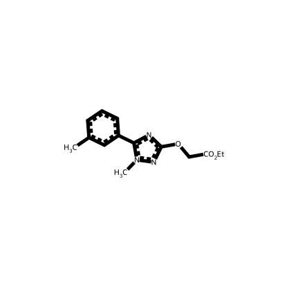 CCOC(=O)COc1nc(-c2cccc(C)c2)n(C)n1